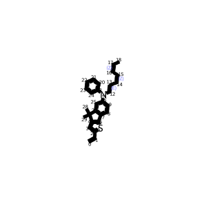 C=Cc1cc2c(s1)-c1ccc(N(/C=C/C=C\C=C/C)c3ccccc3)cc1C2(C)C